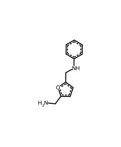 NCc1ccc(CNc2ccccc2)o1